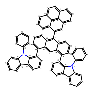 c1ccc(-n2c3ccccc3c3cccc(-c4cccc5c(-c6cc7cccc8ccc9cccc6c9c87)c6cccc(-c7cccc8c9ccccc9n(-c9ccccc9)c78)c6cc45)c32)cc1